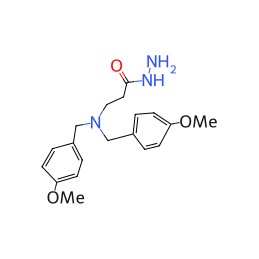 COc1ccc(CN(CCC(=O)NN)Cc2ccc(OC)cc2)cc1